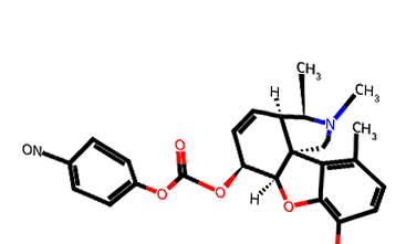 Cc1ccc(O)c2c1[C@]13CCN(C)[C@H](C)[C@@H]1C=C[C@H](OC(=O)Oc1ccc(N=O)cc1)[C@@H]3O2